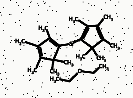 CC1=C(C)C(C)(C)[C]([Sr][C]2=C(C)C(C)=C(C)C2(C)C)=C1C.CCOCC